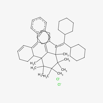 CC12C(=C3Cc4ccccc4C3=C3C=CCCC31)[C](C)([Zr+2]([C]1=CC=CC1)=[C](C1CCCCC1)C1CCCCC1)C(C)(C)C(C)(C)C2(C)C.[Cl-].[Cl-]